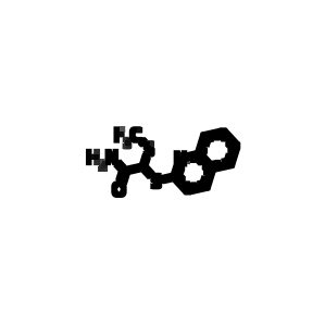 NC(=O)C(Sc1ccc2ccccc2n1)SC(F)(F)F